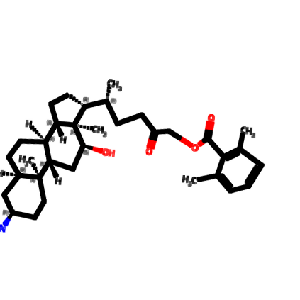 Cc1cccc(C)c1C(=O)OCC(=O)CC[C@@H](C)[C@H]1CC[C@H]2[C@@H]3CC[C@@H]4C[C@H](N)CC[C@]4(C)[C@H]3C[C@H](O)[C@]12C